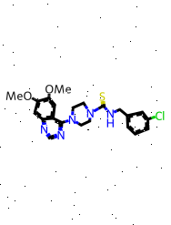 COc1cc2ncnc(N3CCN(C(=S)NCc4cccc(Cl)c4)CC3)c2cc1OC